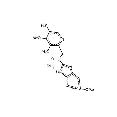 COc1ccc2[nH]c([S+]([O-])Cc3ncc(C)c(OC)c3C)nc2c1.[SrH2]